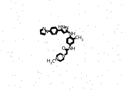 Cc1cc(NC(=O)CN2CCN(C)CC2)ccc1Nc1cc(-c2ccc(-n3cccn3)cc2)[nH]n1